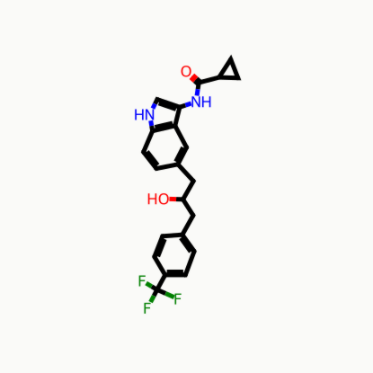 O=C(Nc1c[nH]c2ccc(CC(O)Cc3ccc(C(F)(F)F)cc3)cc12)C1CC1